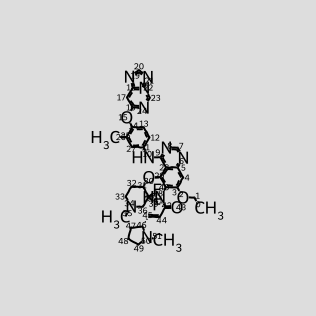 CCOc1cc2ncnc(Nc3ccc(Oc4cc5ncnn5cn4)c(C)c3)c2c(O[C@@H]2CCN(C)CC2(F)F)c1NC(=O)/C=C/[C@H]1CCCN1C